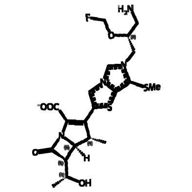 CSc1c2sc(C3=C(C(=O)[O-])N4C(=O)[C@H]([C@@H](C)O)[C@@H]4[C@H]3C)c[n+]2cn1C[C@@H](CN)OCF